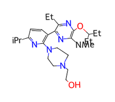 CCc1nc(OC(CC)CC)c(NC)nc1-c1ccc(C(C)C)nc1N1CCN(CCO)CC1